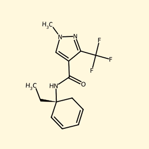 CC[C@]1(NC(=O)c2cn(C)nc2C(F)(F)F)C=CC=CC1